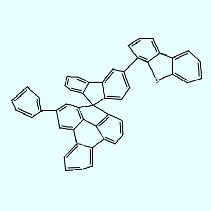 c1ccc(-c2cc3c4c(c2)c2ccccc2c2cccc(c24)C32c3ccccc3-c3cc(-c4cccc5c4sc4ccccc45)ccc32)cc1